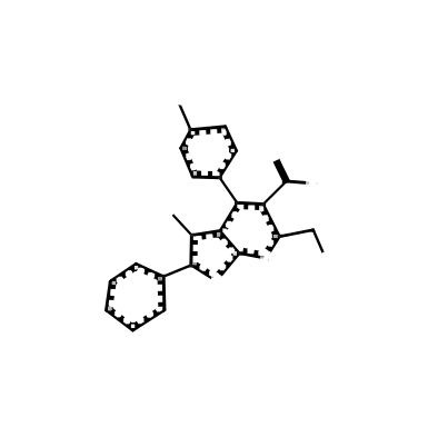 Cc1c(-c2ccccc2)sc2nc(CCl)c(C(=O)O)c(-c3ccc(Cl)cc3)c12